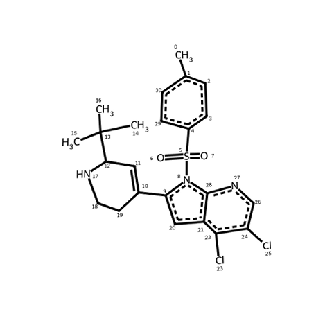 Cc1ccc(S(=O)(=O)n2c(C3=CC(C(C)(C)C)NCC3)cc3c(Cl)c(Cl)cnc32)cc1